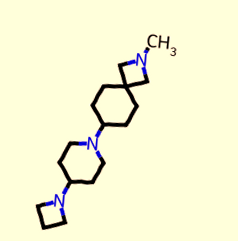 CN1CC2(CCC(N3CCC(N4CCC4)CC3)CC2)C1